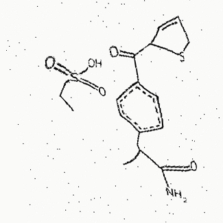 CC(C(N)=O)c1ccc(C(=O)C2C=CCS2)cc1.CCS(=O)(=O)O